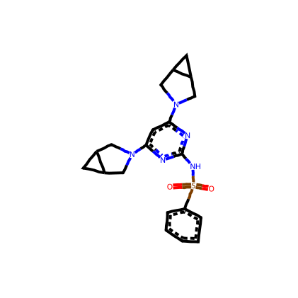 O=S(=O)(Nc1nc(N2CC3CC3C2)cc(N2CC3CC3C2)n1)c1ccccc1